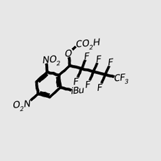 CCC(C)c1cc([N+](=O)[O-])cc([N+](=O)[O-])c1C(OC(=O)O)C(F)(F)C(F)(F)C(F)(F)C(F)(F)F